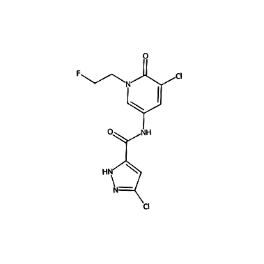 O=C(Nc1cc(Cl)c(=O)n(CCF)c1)c1cc(Cl)n[nH]1